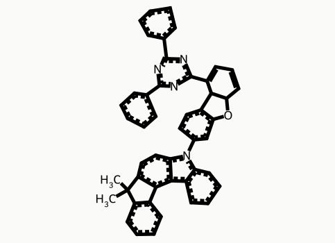 CC1(C)c2ccccc2-c2c1ccc1c2c2ccccc2n1-c1ccc2c(c1)OC1C=CC=C(c3nc(-c4ccccc4)nc(-c4ccccc4)n3)C21